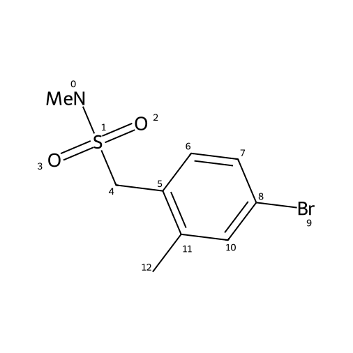 CNS(=O)(=O)Cc1ccc(Br)cc1C